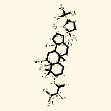 CO[C@H]1CC2[C@]3(CC[C@]4(C)[C@@H]([C@@]5(C)CC[C@@H](C(C)(C)O)O5)[C@@H](O)C[C@@]24C)C[C@@]32CC[C@H](OC(=O)[C@H](C(C)C)N(C)Cl)C(C)(C)[C@H]12